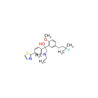 CCN(C)CC(O)(c1ccc(-c2nccs2)cc1)c1cc(CCC(C)(C)F)ccc1OC